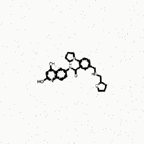 Cc1cc(O)nc2ccc(NC(=O)c3cc(CNCC4CCCO4)ccc3N3CCCC3)cc12